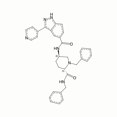 O=C(N[C@@H]1CC[C@@H](C(=O)NCc2ccccc2)N(Cc2ccccc2)C1)c1ccc2[nH]nc(-c3ccncc3)c2c1